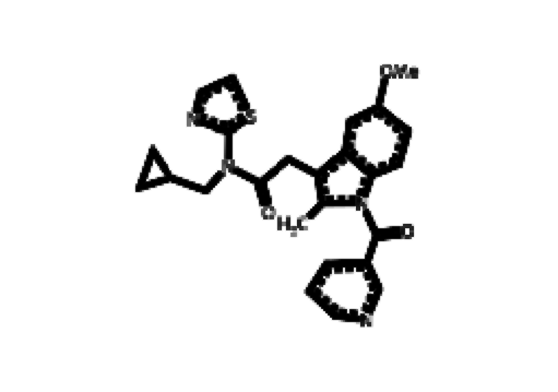 COc1ccc2c(c1)c(CC(=O)N(CC1CC1)c1nccs1)c(C)n2C(=O)c1cccnc1